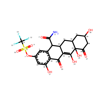 NC(=O)C1c2cc(OS(=O)(=O)C(F)(F)F)cc(O)c2C(=O)C2=C(O)C3(O)C(=O)CC(O)CC3CC21